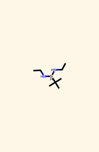 CCN[SiH](NCC)C(C)(C)C